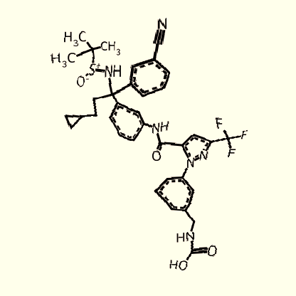 CC(C)(C)[S+]([O-])NC(CCC1CC1)(c1cccc(C#N)c1)c1cccc(NC(=O)c2cc(C(F)(F)F)nn2-c2cccc(CNC(=O)O)c2)c1